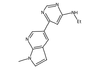 CCNc1cc(-c2cnc3c(ccn3C)c2)ncn1